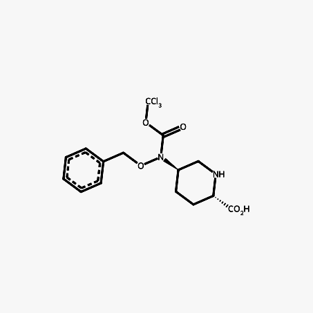 O=C(O)[C@@H]1CC[C@@H](N(OCc2ccccc2)C(=O)OC(Cl)(Cl)Cl)CN1